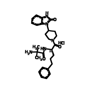 CC(C)(N)C(=O)N[C@H](CCCc1ccccc1)C(=O)N1CCC(n2c(=O)[nH]c3ccccc32)CC1.Cl